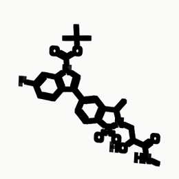 CNC(=O)C(O)CN1C(C)c2cc(-c3cn(C(=O)OC(C)(C)C)c4cc(F)ccc34)ccc2S1(=O)=O